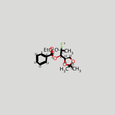 CCOC(=O)[C@@](C)(F)[C@H](OC(=O)c1ccccc1)[C@H]1COC(C)(C)O1